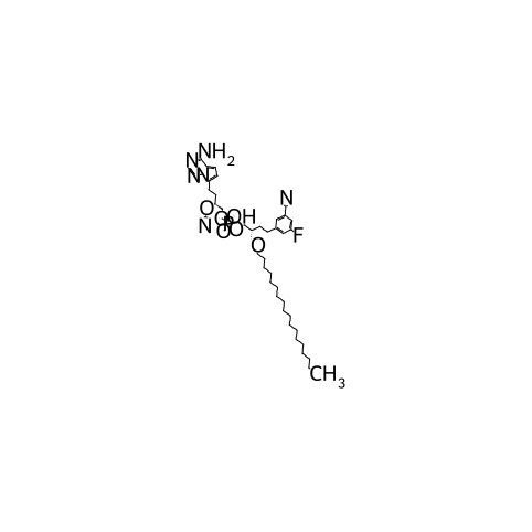 CCCCCCCCCCCCCCCCCCOC[C@@H](CCc1cc(F)cc(C#N)c1)COP(=O)(O)OC[C@H](CCc1ccc2c(N)ncnn12)OC#N